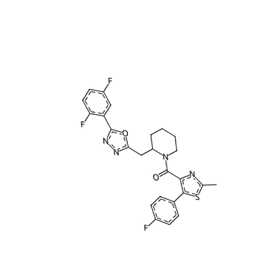 Cc1nc(C(=O)N2CCCCC2Cc2nnc(-c3cc(F)ccc3F)o2)c(-c2ccc(F)cc2)s1